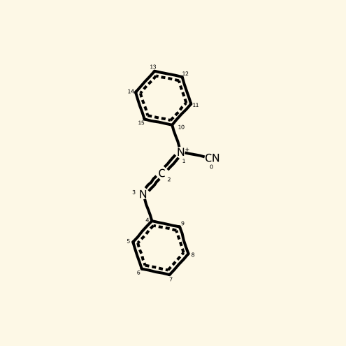 N#C[N+](=C=Nc1ccccc1)c1ccccc1